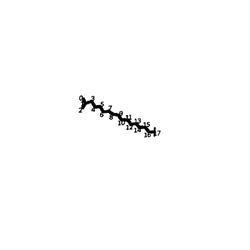 CC(C)CCCCCCCCCCCCCCI